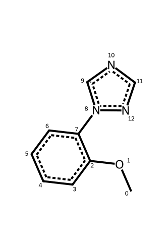 COc1ccccc1-n1[c]ncn1